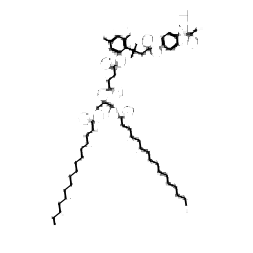 CCCCCCCCCCCCCCCC(=O)OCC(COC(=O)CCCCCCCCCCCCCCC)OC(=O)CCC(=O)Oc1cc(C)cc(C)c1C(C)(C)CC(=O)Oc1ccc(NC(C)=O)cc1